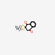 CSC1(SC)CC(=O)c2ccccc2C1=O